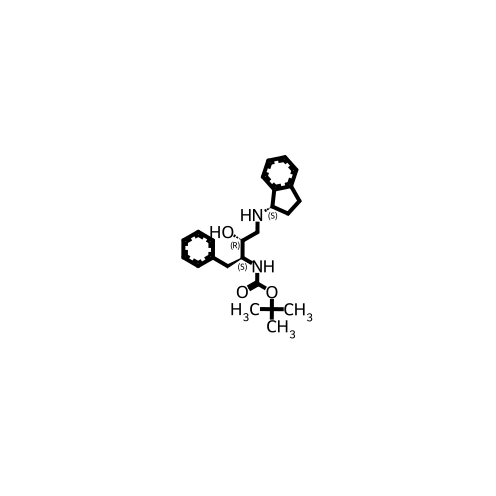 CC(C)(C)OC(=O)N[C@@H](Cc1ccccc1)[C@H](O)CN[C@H]1CCc2ccccc21